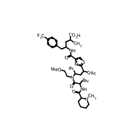 CCC(C)C(NC(=O)C1CCCCN1C)C(=O)N(CCOC)C(CC(OC(C)=O)c1nc(C(=O)NC(Cc2ccc(C(F)(F)F)cc2)CC(C)C(=O)O)cs1)C(C)C